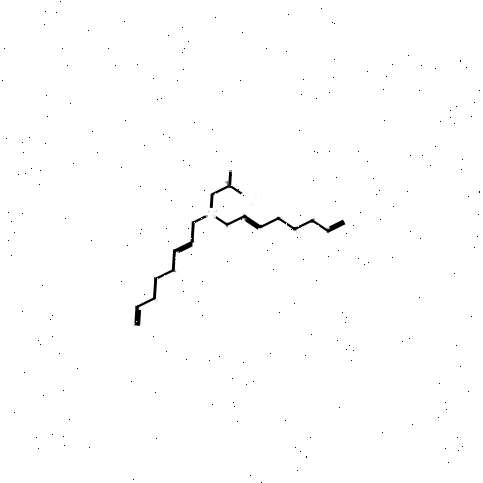 C=CCCC/C=C/CN(C/C=C/CCCC=C)CC(CC)CCCC